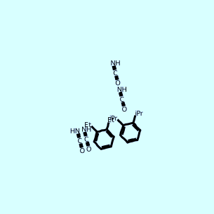 CC(C)c1ccccc1C(C)C.CCc1ccccc1CC.N=C=O.N=C=O.N=C=O.N=C=O